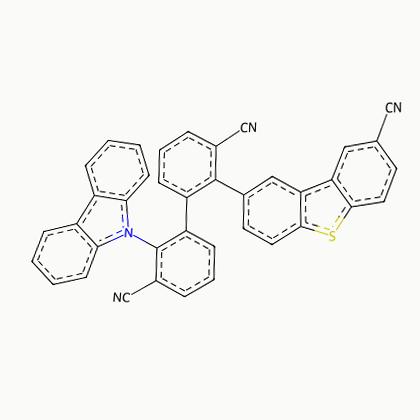 N#Cc1ccc2sc3ccc(-c4c(C#N)cccc4-c4cccc(C#N)c4-n4c5ccccc5c5ccccc54)cc3c2c1